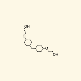 OCCOC1CCC(CC2CCC(OCCO)CC2)CC1